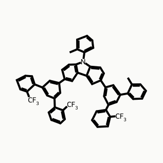 Cc1ccccc1-c1cc(-c2ccc3c(c2)c2cc(-c4cc(-c5ccccc5C(F)(F)F)cc(-c5ccccc5C(F)(F)F)c4)ccc2n3-c2ccccc2C)cc(-c2ccccc2C(F)(F)F)c1